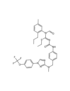 CCCc1ccc(C)cc1N(C=O)/C(=N/C(=O)Nc1ccc(CN(C)c2ncn(-c3ccc(OC(F)(F)F)cc3)n2)cc1)SCC